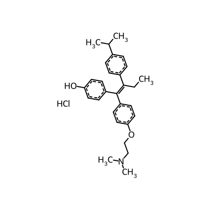 CCC(=C(c1ccc(O)cc1)c1ccc(OCCN(C)C)cc1)c1ccc(C(C)C)cc1.Cl